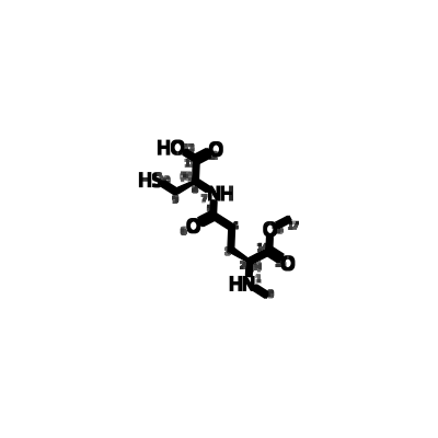 CN[C@@H](CCC(=O)N[C@@H](CS)C(=O)O)C(=O)OC